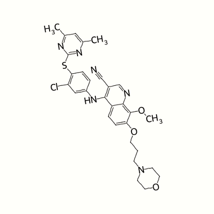 COc1c(OCCCN2CCOCC2)ccc2c(Nc3ccc(Sc4nc(C)cc(C)n4)c(Cl)c3)c(C#N)cnc12